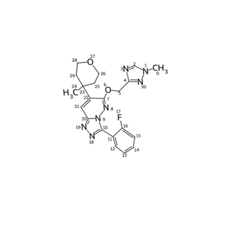 Cn1cnc(COc2nn3c(-c4ccccc4F)nnc3cc2C2(C)CCOCC2)n1